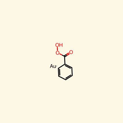 O=C(OO)c1ccccc1.[Au]